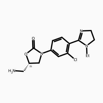 CCN1CCN=C1c1ccc(N2C[C@H](CN)OC2=O)cc1Cl